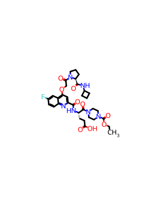 CCOC(=O)N1CCN(C(=O)[C@H](CCC(=O)O)NC(=O)c2cc(OCC(=O)N3CCC[C@H]3C(=O)NC3CCC3)c3cc(F)ccc3n2)CC1